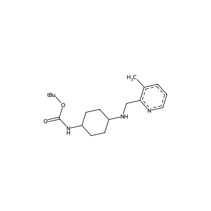 Cc1cccnc1CNC1CCC(NC(=O)OC(C)(C)C)CC1